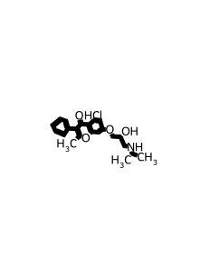 Cc1oc2cc(OCC(O)CNC(C)C)ccc2c(=O)c1-c1ccccc1.Cl